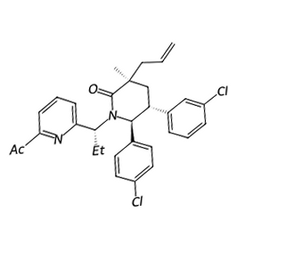 C=CC[C@@]1(C)C[C@H](c2cccc(Cl)c2)[C@@H](c2ccc(Cl)cc2)N([C@H](CC)c2cccc(C(C)=O)n2)C1=O